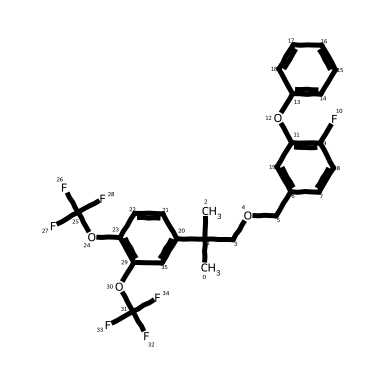 CC(C)(COCc1ccc(F)c(Oc2ccccc2)c1)c1ccc(OC(F)(F)F)c(OC(F)(F)F)c1